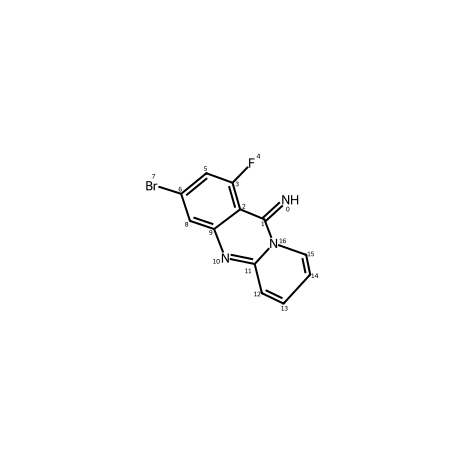 N=c1c2c(F)cc(Br)cc2nc2ccccn12